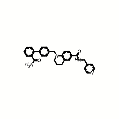 NC(=O)c1ccccc1-c1ccc(CN2CCCc3cc(C(=O)NCc4ccncc4)ccc32)cc1